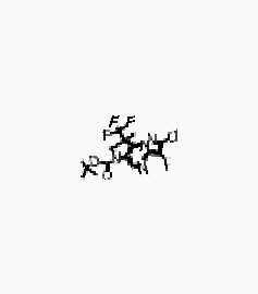 CC(C)(C)OC(=O)N1CC(C)(C(F)(F)F)c2c1cnc1c(F)c(Cl)nn21